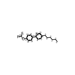 CCCCCCc1ccc(-c2ccc(OC(F)F)cc2)nc1